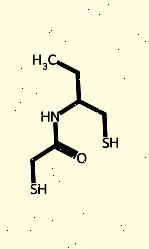 CCC(CS)NC(=O)CS